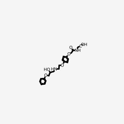 O=C(COc1ccc(OCCNCC(O)COc2ccccc2)cc1)NCCO